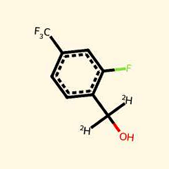 [2H]C([2H])(O)c1ccc(C(F)(F)F)cc1F